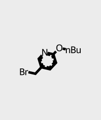 CCCCOc1ccc(CBr)cn1